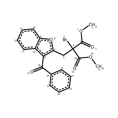 COC(=O)C(Br)(Cc1oc2ccccc2c1C(=O)c1ccccc1)C(=O)OC